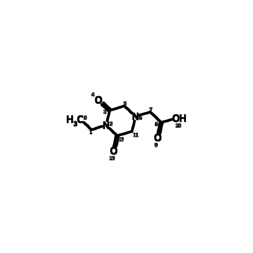 CCN1C(=O)CN(CC(=O)O)CC1=O